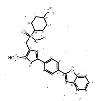 CCOP(=O)(Cc1cc(-c2ccc(-c3cc4ncccc4o3)cc2)sc1C(=O)O)C1CCC(C)CC1